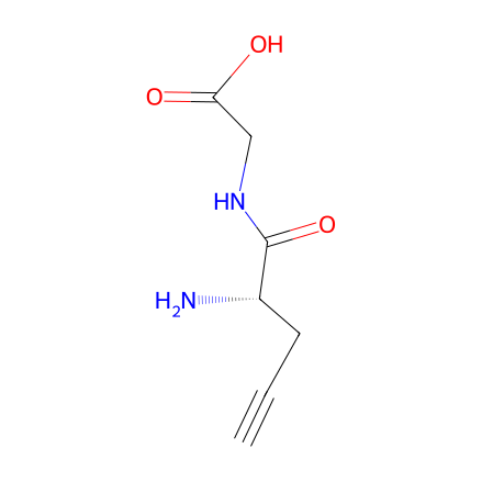 C#CC[C@H](N)C(=O)NCC(=O)O